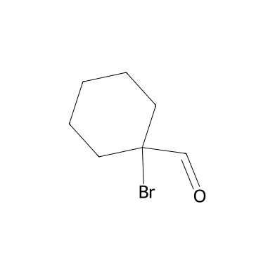 O=CC1(Br)CCCCC1